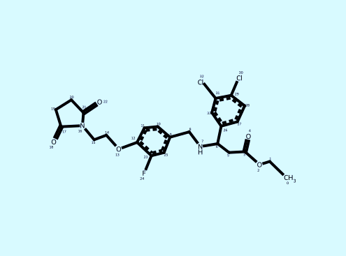 CCOC(=O)CC(NCc1ccc(OCCN2C(=O)CCC2=O)c(F)c1)c1ccc(Cl)c(Cl)c1